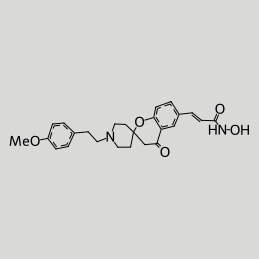 COc1ccc(CCN2CCC3(CC2)CC(=O)c2cc(C=CC(=O)NO)ccc2O3)cc1